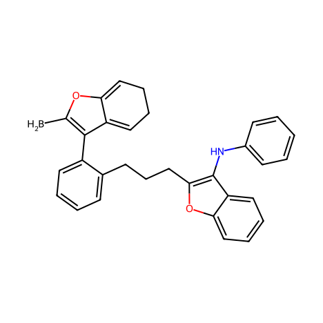 Bc1oc2c(c1-c1ccccc1CCCc1oc3ccccc3c1Nc1ccccc1)=CCCC=2